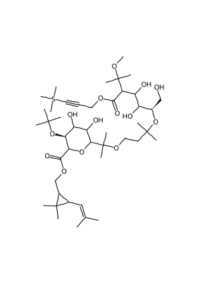 COC(C)(C)C(C(=O)OCC#CS(C)(C)C)C(O)C(O)[C@@H](CO)OC(C)(C)CCOC(C)(C)C1OC(C(=O)OCC2C(C=C(C)C)C2(C)C)[C@@H](OC(C)(C)C)C(O)C1O